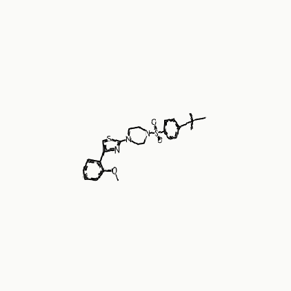 COc1ccccc1-c1csc(N2CCN(S(=O)(=O)c3ccc(C(C)(C)C)cc3)CC2)n1